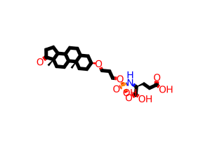 C[C@]12CC[C@H](OCCCOP(=O)(O)N[C@@H](CCC(=O)O)C(=O)O)CC1CCC1C2CC[C@]2(C)C(=O)CCC12